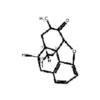 CC1C[C@H]2[C@H]3Cc4cccc5c4[C@@]2(CCN3)C(O5)C1=O